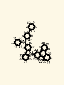 c1ccc(-c2ccc(N(c3ccccc3)c3ccc4c(c3)c3ccccc3n4-c3cc4oc5cccc6c7ccccc7c(c3)c4c56)cc2)cc1